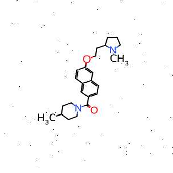 CC1CCN(C(=O)c2ccc3cc(OCCC4CCCN4C)ccc3c2)CC1